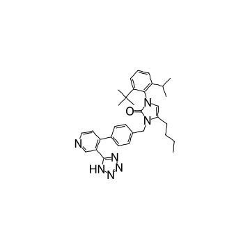 CCCCc1cn(-c2c(C(C)C)cccc2C(C)(C)C)c(=O)n1Cc1ccc(-c2ccncc2-c2nnn[nH]2)cc1